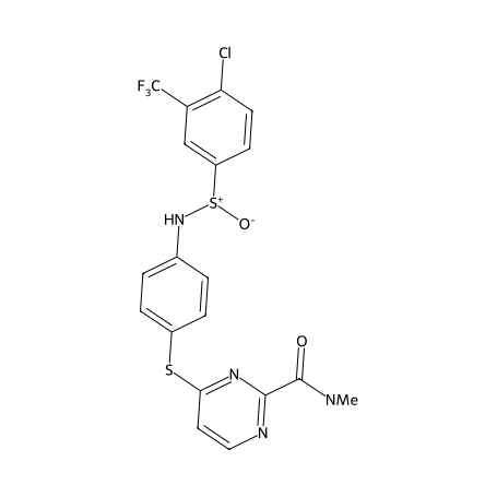 CNC(=O)c1nccc(Sc2ccc(N[S+]([O-])c3ccc(Cl)c(C(F)(F)F)c3)cc2)n1